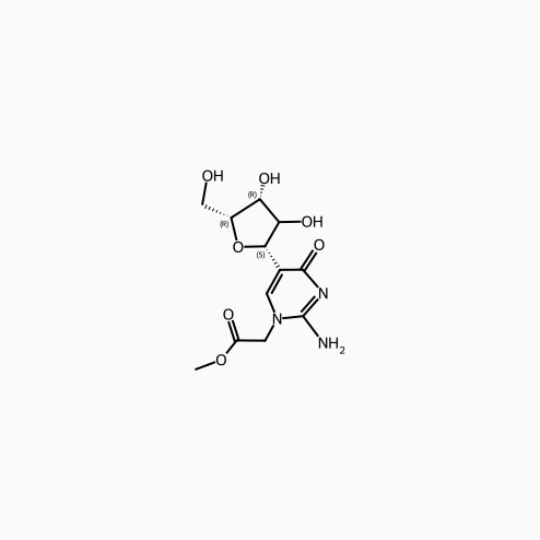 COC(=O)Cn1cc([C@@H]2O[C@H](CO)[C@H](O)C2O)c(=O)nc1N